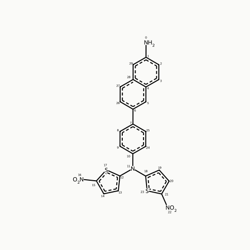 Nc1ccc2cc(-c3ccc(N(c4ccc([N+](=O)[O-])s4)c4ccc([N+](=O)[O-])s4)cc3)ccc2c1